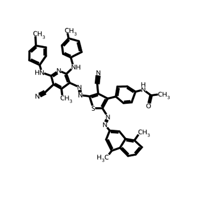 CC(=O)Nc1ccc(-c2c(N=Nc3cc(C)c4cccc(C)c4c3)sc(N=Nc3c(Nc4ccc(C)cc4)nc(Nc4ccc(C)cc4)c(C#N)c3C)c2C#N)cc1